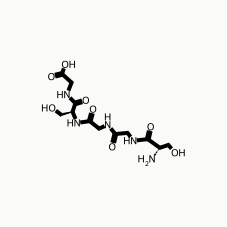 N[C@@H](CO)C(=O)NCC(=O)NCC(=O)N[C@@H](CO)C(=O)NCC(=O)O